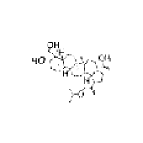 C=C(COC(C)C)[C@@H]1CC[C@]2(C(=C)O)CC[C@]3(C)C(CC[C@@H]4[C@@]5(C)CC[C@H](O)[C@@](C)(CO)[C@@H]5CC[C@]43C)[C@@H]12